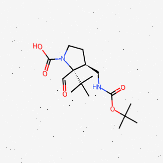 CC(C)(C)OC(=O)NC[C@@H]1CCN(C(=O)O)[C@@]1(C=O)C(C)(C)C